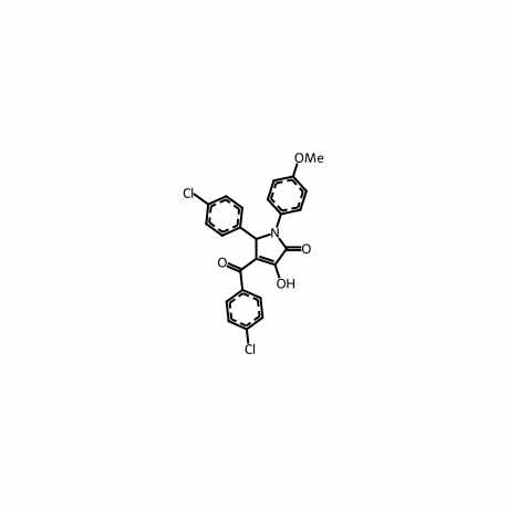 COc1ccc(N2C(=O)C(O)=C(C(=O)c3ccc(Cl)cc3)C2c2ccc(Cl)cc2)cc1